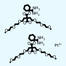 COCCOCCOCCC(CCOCCOCCOC)(C(=O)[O-])C(=O)OC1(C(N)N)CCCCC1.COCCOCCOCCC(CCOCCOCCOC)(C(=O)[O-])C(=O)OC1(C(N)N)CCCCC1.[Pt+2]